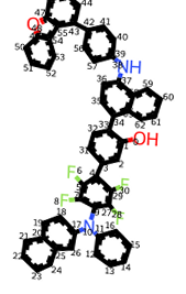 Oc1cc(-c2c(F)c(F)c(N(c3ccccc3)c3ccc4ccccc4c3)c(F)c2F)ccc1-c1ccc(Nc2ccc(-c3cccc4oc5ccccc5c34)cc2)c2ccccc12